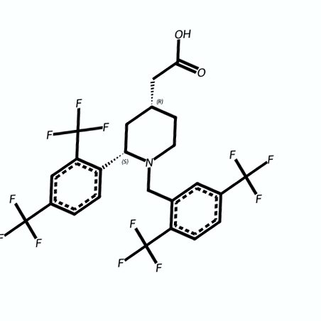 O=C(O)C[C@@H]1CCN(Cc2cc(C(F)(F)F)ccc2C(F)(F)F)[C@H](c2ccc(C(F)(F)F)cc2C(F)(F)F)C1